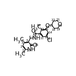 Cc1cc(C)c(CNC(=O)c2cc(Cl)cc(OC3CCOCC3)c2C)c(=O)[nH]1